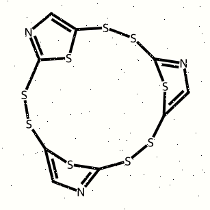 c1nc2sc1SSc1ncc(s1)SSc1ncc(s1)SS2